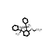 CC(C)(c1ccccc1)c1cccc(OCC(=O)O)c1C(C)(C)c1ccccc1